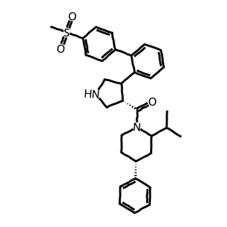 CC(C)C1C[C@H](c2ccccc2)CCN1C(=O)[C@@H]1CNCC1c1ccccc1-c1ccc(S(C)(=O)=O)cc1